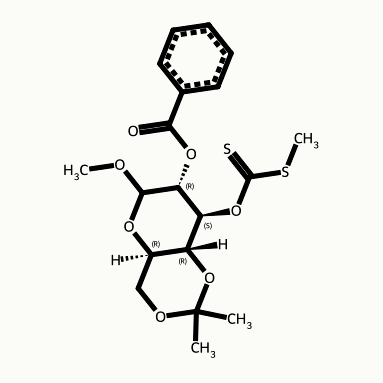 COC1O[C@@H]2COC(C)(C)O[C@H]2[C@H](OC(=S)SC)[C@H]1OC(=O)c1ccccc1